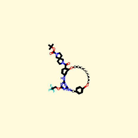 CC(C)(C)OC(=O)N1CCC2(CCN(C(=O)c3ccc4cc3OCCCCCCCCOc3ccc(cc3)CNc3nc(nc(OCC(F)(F)F)n3)N4)C2)C1